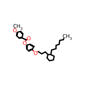 CCCCCCCC1CCCCC1CCCOc1ccc(OC(=O)c2ccc(OC)cc2)cc1